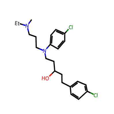 CCN(C)CCCN(CCC(O)CCc1ccc(Cl)cc1)c1ccc(Cl)cc1